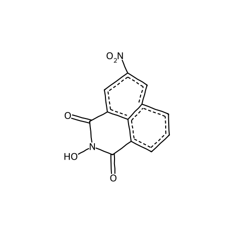 O=C1c2cccc3cc([N+](=O)[O-])cc(c23)C(=O)N1O